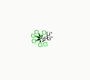 [Cl][Pd-2]([Cl])([Cl])([Cl])([Cl])[Cl].[Li+].[Li+]